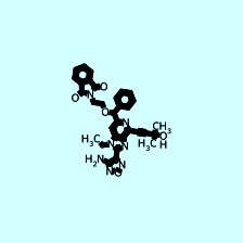 CCn1c(-c2nonc2N)nc2c(C#CC(C)(C)O)nc(C(OCCN3C(=O)c4ccccc4C3=O)c3ccccc3)cc21